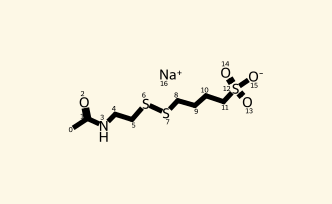 CC(=O)NCCSSCCCCS(=O)(=O)[O-].[Na+]